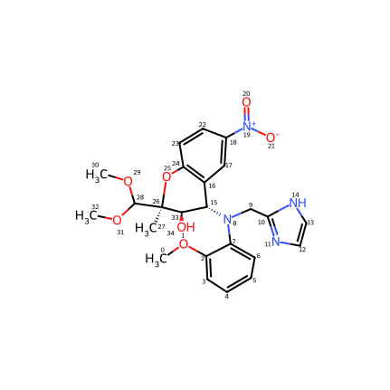 COc1ccccc1N(Cc1ncc[nH]1)[C@H]1c2cc([N+](=O)[O-])ccc2O[C@](C)(C(OC)OC)[C@@H]1O